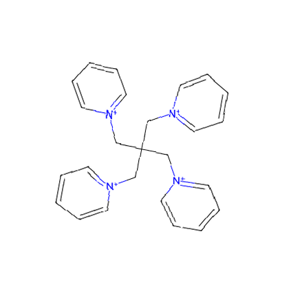 c1cc[n+](CC(C[n+]2ccccc2)(C[n+]2ccccc2)C[n+]2ccccc2)cc1